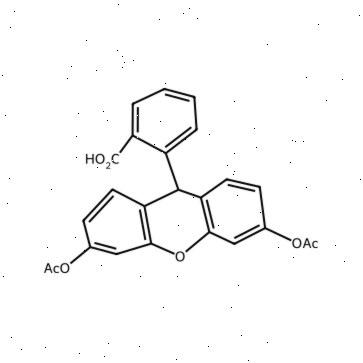 CC(=O)Oc1ccc2c(c1)Oc1cc(OC(C)=O)ccc1C2c1ccccc1C(=O)O